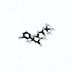 CN1C(=O)CC(C)(c2cccc(Br)c2)N/C1=N/C(=O)OC(C)(C)C